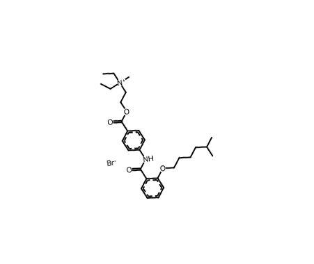 CC[N+](C)(CC)CCOC(=O)c1ccc(NC(=O)c2ccccc2OCCCCC(C)C)cc1.[Br-]